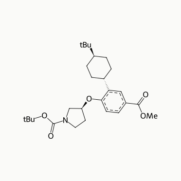 COC(=O)c1ccc(O[C@H]2CCN(C(=O)OC(C)(C)C)C2)c([C@H]2CC[C@H](C(C)(C)C)CC2)c1